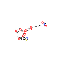 C=CC[C@H]1C(=O)C(C)(C)[C@@H](OC(=O)OCc2ccc(OC(=O)CCCCCCCCCCN3C(=O)C=CC3=O)cc2)CC(=O)O[C@H](c2ccc3sc(C)nc3c2)C[C@@H]2O[C@]2(C)CCC[C@H](C)C1O